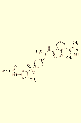 COC(=O)Nc1nc(C)c(S(=O)(=O)N2CCN(C[C@H](C)Nc3ncnc4c(-c5c(C)n[nH]c5C)cccc34)CC2)s1